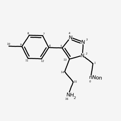 CCCCCCCCCCn1nnc(-c2ccc(C)cc2)c1CCN